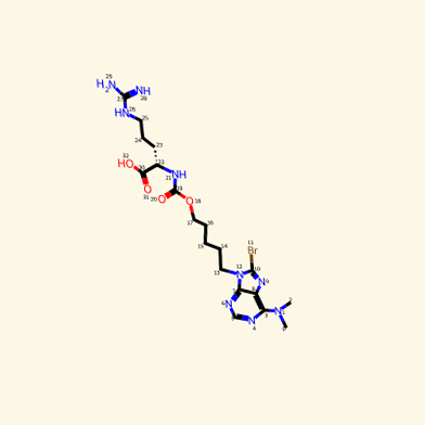 CN(C)c1ncnc2c1nc(Br)n2CCCCCOC(=O)N[C@@H](CCCNC(=N)N)C(=O)O